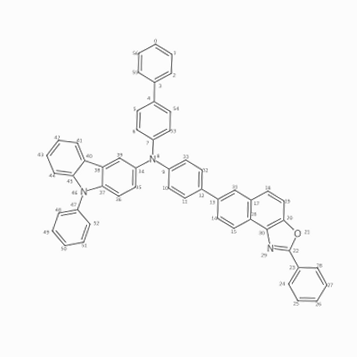 c1ccc(-c2ccc(N(c3ccc(-c4ccc5c(ccc6oc(-c7ccccc7)nc65)c4)cc3)c3ccc4c(c3)c3ccccc3n4-c3ccccc3)cc2)cc1